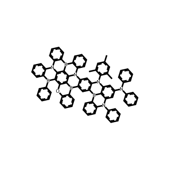 Cc1cc(C)c(N2c3cc4c(cc3B3c5ccccc5N(c5ccccc5)c5cc(N(c6ccccc6)c6ccccc6)cc2c53)B2c3ccccc3Oc3c5c6c7c(c32)N4c2ccccc2B7c2ccccc2N6c2ccccc2B5c2ccccc2)c(C)c1